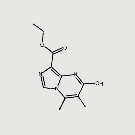 CCOC(=O)c1ncn2c(C)c(C)c(O)nc12